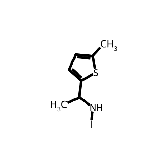 Cc1ccc(C(C)NI)s1